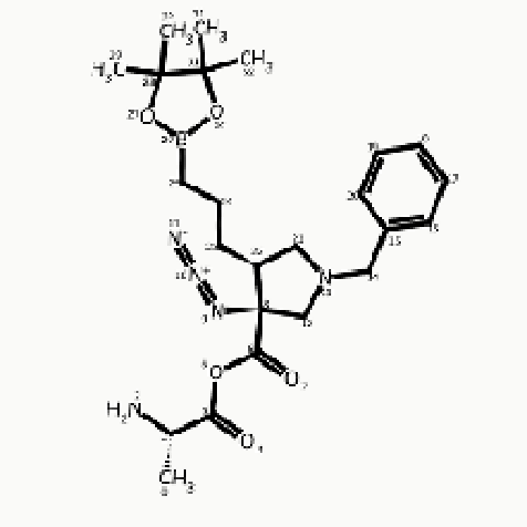 C[C@H](N)C(=O)OC(=O)[C@@]1(N=[N+]=[N-])CN(Cc2ccccc2)C[C@@H]1CCCB1OC(C)(C)C(C)(C)O1